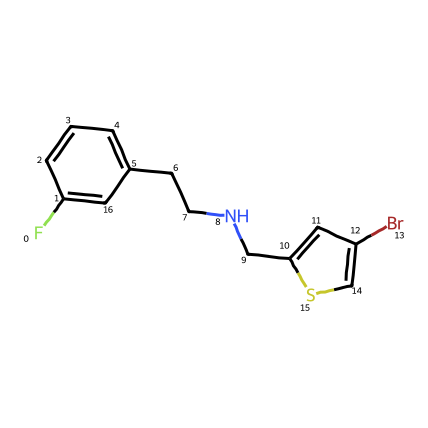 Fc1cccc(CCNCc2cc(Br)cs2)c1